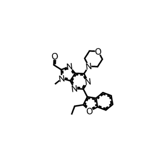 CCc1oc2ccccc2c1-c1nc(N2CCOCC2)c2nc(C=O)n(C)c2n1